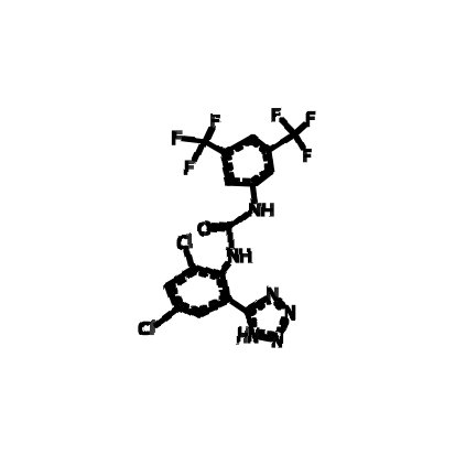 O=C(Nc1cc(C(F)(F)F)cc(C(F)(F)F)c1)Nc1c(Cl)cc(Cl)cc1-c1nnn[nH]1